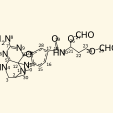 CN1C2CNC3=NC(N)=NC(=O)C31N(c1ccc(C(=O)NC(CCOC=O)OC=O)cc1)C2